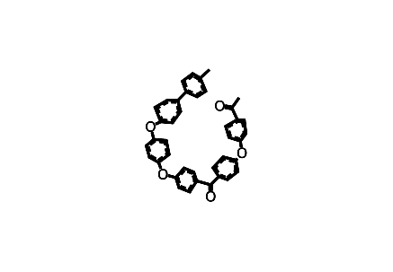 CC(=O)c1ccc(Oc2ccc(C(=O)c3ccc(Oc4ccc(Oc5ccc(-c6ccc(C)cc6)cc5)cc4)cc3)cc2)cc1